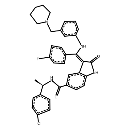 C[C@@H](NC(=O)c1ccc2c(c1)/C(=C(/Nc1cccc(CN3CCCCC3)c1)c1ccc(F)cc1)C(=O)N2)c1ccc(Cl)cc1